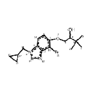 CC(C)(C)C(O)COc1ccc2c(nnn2CC2CC2)c1Br